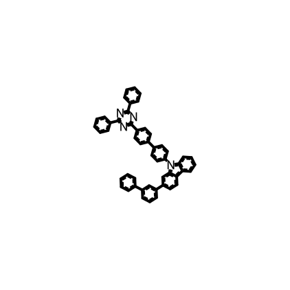 c1ccc(-c2cccc(-c3ccc4c5ccccc5n(-c5ccc(-c6ccc(-c7nc(-c8ccccc8)nc(-c8ccccc8)n7)cc6)cc5)c4c3)c2)cc1